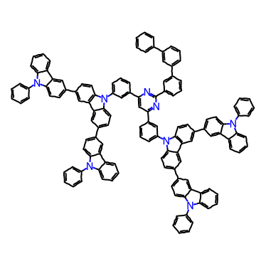 c1ccc(-c2cccc(-c3cccc(-c4nc(-c5cccc(-n6c7ccc(-c8ccc9c(c8)c8ccccc8n9-c8ccccc8)cc7c7cc(-c8ccc9c(c8)c8ccccc8n9-c8ccccc8)ccc76)c5)cc(-c5cccc(-n6c7ccc(-c8ccc9c(c8)c8ccccc8n9-c8ccccc8)cc7c7cc(-c8ccc9c(c8)c8ccccc8n9-c8ccccc8)ccc76)c5)n4)c3)c2)cc1